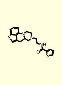 O=C(NCCN1CCN2c3cccc4scc(c34)CC2C1)c1cccs1